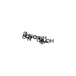 COc1cc2ncc(-c3ccc(CC(=O)Nc4cc(C(C)(C)CO)on4)cc3)nc2cc1OC